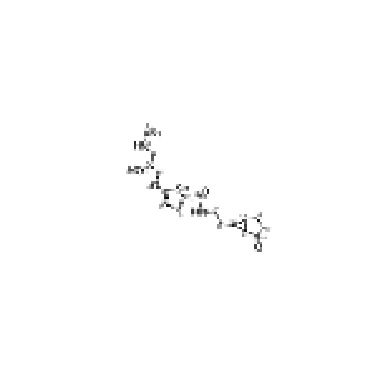 CCCCNCC(O)COc1ncc(C(=O)NCCC2C3CCC(=O)C23)s1